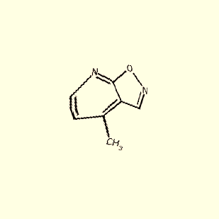 Cc1ccnc2oncc12